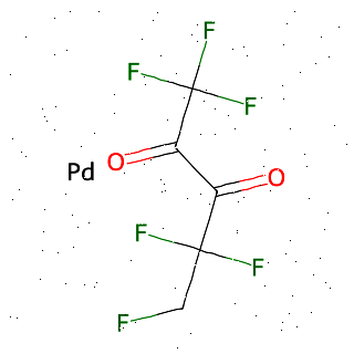 O=C(C(=O)C(F)(F)CF)C(F)(F)F.[Pd]